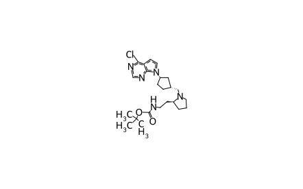 CC(C)(C)OC(=O)NCC[C@@H]1CCCN1C[C@@H]1CC[C@H](n2ccc3c(Cl)ncnc32)C1